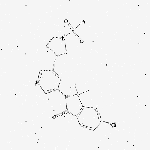 CC(C)S(=O)(=O)N1CCC(c2cncc(N3C(=O)c4ccc(Cl)cc4C3(C)C)c2)C1